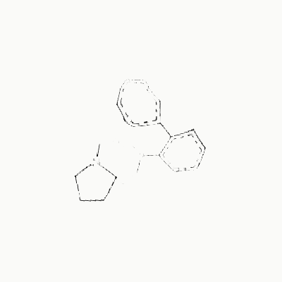 CN1CCC[C@H]1CN(C(=O)O)c1ccccc1-c1ccccc1